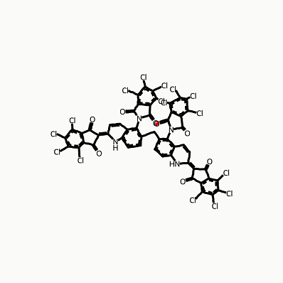 O=C1C(=C2C=Cc3c(ccc(Cc4ccc5c(c4N4C(=O)c6c(Cl)c(Cl)c(Cl)c(Cl)c6C4=O)C=CC(=C4C(=O)c6c(Cl)c(Cl)c(Cl)c(Cl)c6C4=O)N5)c3N3C(=O)c4c(Cl)c(Cl)c(Cl)c(Cl)c4C3=O)N2)C(=O)c2c(Cl)c(Cl)c(Cl)c(Cl)c21